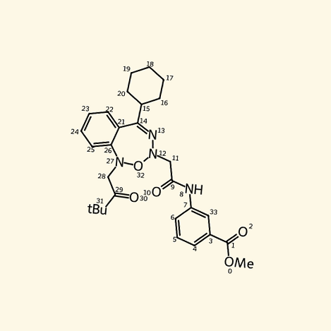 COC(=O)c1cccc(NC(=O)Cn2nc(C3CCCCC3)c3ccccc3n(CC(=O)C(C)(C)C)o2)c1